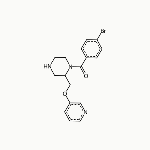 O=C(c1ccc(Br)cc1)N1CCNCC1COc1cccnc1